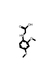 COc1cc(SC)ccc1NCC(=O)O